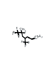 CCCC(CC(C)(F)C(F)(F)F)C(F)(F)F